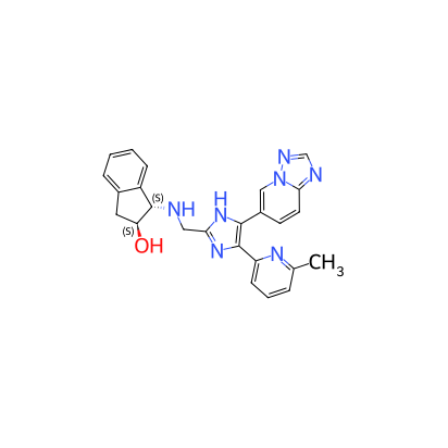 Cc1cccc(-c2nc(CN[C@H]3c4ccccc4C[C@@H]3O)[nH]c2-c2ccc3ncnn3c2)n1